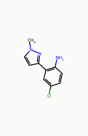 Cn1ccc(-c2cc(Cl)ccc2N)n1